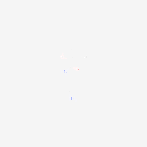 Cc1ccoc1C(=O)Nc1ccc(N)cc1